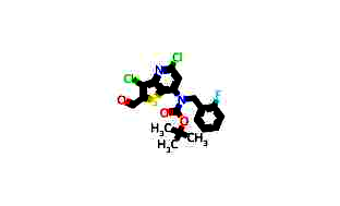 CC(C)(C)OC(=O)N(Cc1ccccc1F)c1cc(Cl)nc2c(Cl)c(C=O)sc12